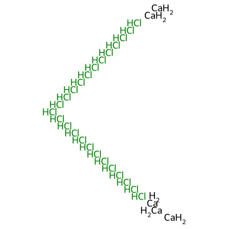 Cl.Cl.Cl.Cl.Cl.Cl.Cl.Cl.Cl.Cl.Cl.Cl.Cl.Cl.Cl.Cl.Cl.Cl.Cl.Cl.Cl.Cl.Cl.Cl.Cl.[CaH2].[CaH2].[CaH2].[CaH2].[CaH2]